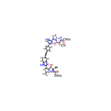 COC(=O)N[C@@H](CC#N)C(=O)N1CCC[C@H]1c1nc(-c2ccc(C#Cc3ccc4[nH]c([C@@H]5CC6(CC6)CN5C(=O)[C@@H](NC(=O)OC)C(C)C)nc4c3)cc2)c[nH]1